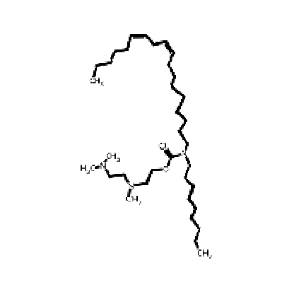 CCCCC/C=C\C/C=C\CCCCCCCCN(CCCCCCCCC)C(=O)OCCN(C)CCN(C)C